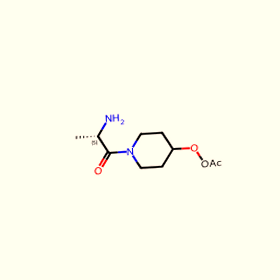 CC(=O)OOC1CCN(C(=O)[C@H](C)N)CC1